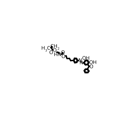 C=C(C)C(=O)OCCNC(=O)OCCCCc1ccc(/N=N/c2cc(C(=O)c3ccccc3)c(O)cc2O)cc1